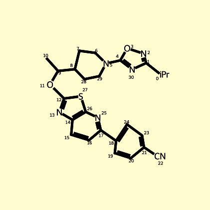 CC(C)c1noc(N2CCC(C(C)Oc3nc4ccc(-c5ccc(C#N)cc5)nc4s3)CC2)n1